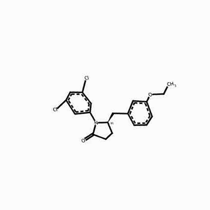 CCOc1cccc(C[C@H]2CCC(=O)N2c2cc(Cl)cc(Cl)c2)c1